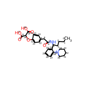 CCCCC(NC(=O)Cc1ccc(OC(C(=O)O)C(=O)O)cc1)c1ccccc1N1CCCCC1